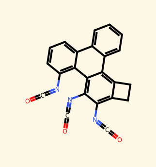 O=C=Nc1c2c(c3c4ccccc4c4cccc(N=C=O)c4c3c1N=C=O)CC2